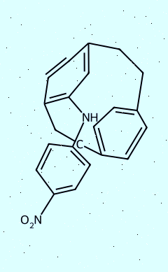 O=[N+]([O-])c1ccc(Nc2cc3ccc2CCc2ccc(cc2)CC3)cc1